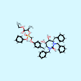 CCOC(=O)C(C)OP(=O)(COc1ccc(C[C@@H]2[C@H](O)[C@@H](O)[C@@H](Cc3ccccc3)N(Cc3ccccc3)C(=O)N2Cc2ccccc2)cc1)Oc1ccccc1